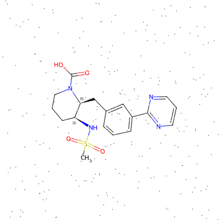 CS(=O)(=O)N[C@H]1CCCN(C(=O)O)[C@H]1Cc1cccc(-c2ncccn2)c1